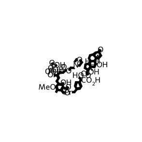 CC(C)Cc1ccc(C(C)C(=O)O)cc1.COc1c(C)c2c(c(O)c1C/C=C(\C)CCC(=O)OCCN1CCOCC1)C(=O)OC2.C[C@]12C=CC(=O)C=C1CC[C@@H]1[C@@H]2[C@@H](O)C[C@@]2(C)[C@H]1CC[C@]2(O)C(=O)CO.O=P(O)(O)OP(=O)(O)O